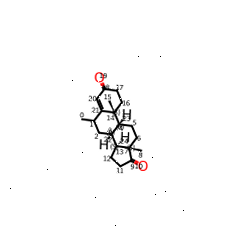 CC1C[C@@H]2[C@@H](CC[C@]3(C)C(=O)CC[C@@H]23)[C@@]2(C)CCC(=O)C=C12